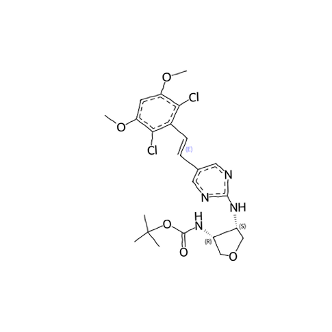 COc1cc(OC)c(Cl)c(/C=C/c2cnc(N[C@@H]3COC[C@@H]3NC(=O)OC(C)(C)C)nc2)c1Cl